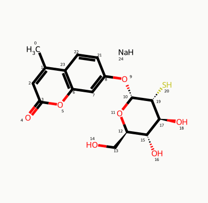 Cc1cc(=O)oc2cc(O[C@H]3O[C@H](CO)[C@@H](O)[C@H](O)[C@H]3S)ccc12.[NaH]